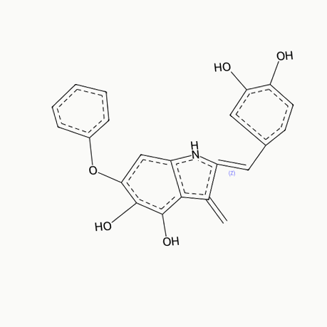 C=c1/c(=C/c2ccc(O)c(O)c2)[nH]c2cc(Oc3ccccc3)c(O)c(O)c12